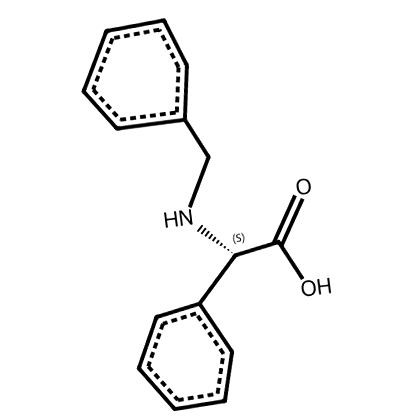 O=C(O)[C@@H](NCc1ccccc1)c1ccccc1